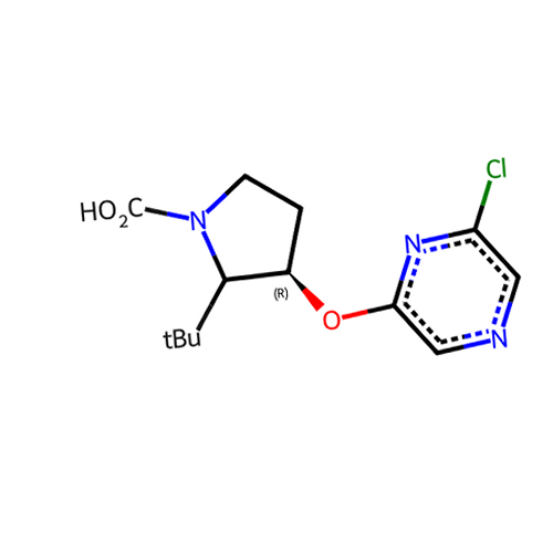 CC(C)(C)C1[C@H](Oc2cncc(Cl)n2)CCN1C(=O)O